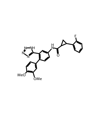 COc1ccc(-c2ccc(NC(=O)C3CC3c3ccccc3F)cc2-c2nnn[nH]2)cc1OC